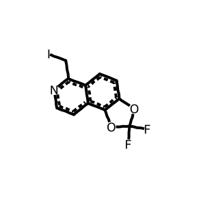 FC1(F)Oc2ccc3c(CI)nccc3c2O1